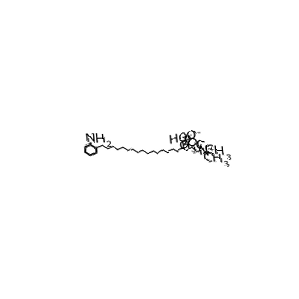 C[N+](C)(C)CC(CCCCCCCCCCCCCCCCCCc1ccccc1N)OP(=O)([O-])O